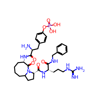 N=C(N)NCCC[C@H](NC(=O)[C@@H]1CCC2CCCC[C@H](NC(=O)[C@@H](N)Cc3ccc(OP(=O)(O)O)cc3)C(=O)N21)C(=O)NCc1ccccc1